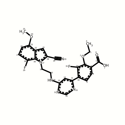 CCOc1c(C(=O)O)ccc(-c2cc(NCCn3c(C#N)cc4c(OC)ccc(F)c43)ncn2)c1F